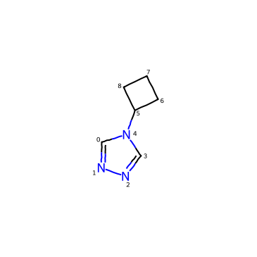 c1nncn1C1CCC1